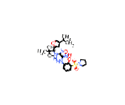 CC(C)c1coc([C@H](Nc2nonc2Nc2cccc(S(=O)(=O)N3CCCC3)c2O)C(C)(C)C)c1